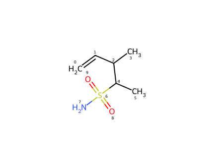 C=CC(C)C(C)S(N)(=O)=O